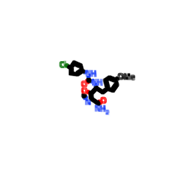 COc1ccc(CC(NC(=O)Nc2ccc(Cl)cc2)c2ocnc2C(N)=O)cc1